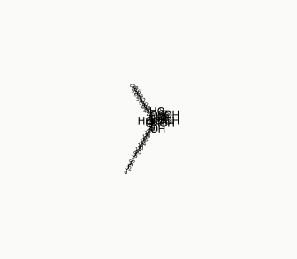 CCCCCCCCCCCCCCCCCCCCCC[C@H](O)C(=O)N[C@@H](CO[C@@H]1O[C@H](CO)[C@@H](O)[C@H](O)[C@H]1O)[C@H](O)[C@H](O)CCCCCCCCCCCCCCC